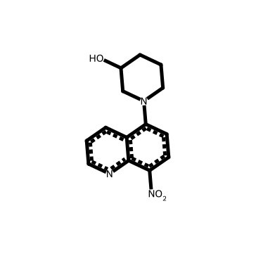 O=[N+]([O-])c1ccc(N2CCCC(O)C2)c2cccnc12